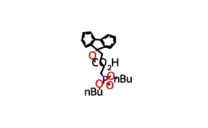 CCCCOP(=O)(CCCCC1(OC(=O)O)c2ccccc2-c2ccccc21)OCCCC